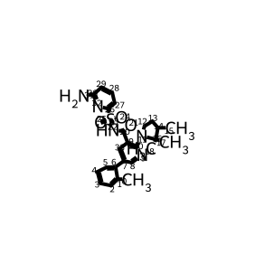 Cc1ccccc1-c1cnc(N2CCC(C)C2(C)C)c(C(=O)NS(=O)(=O)c2cccc(N)n2)c1